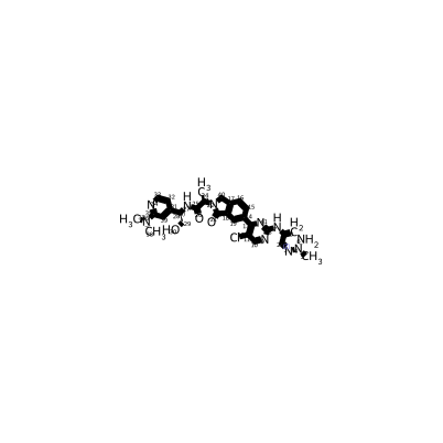 C=C(/C=N\N(C)N)Nc1ncc(Cl)c(-c2ccc3c(c2)C(=O)N([C@H](C)C(=O)N[C@H](CO)c2ccnc(N(C)C)c2)C3)n1